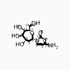 Nc1ccn([C@@H]2C[C@H](O)[C@@H](O)[C@@H](O)[C@@H](CO)O2)c(=O)n1